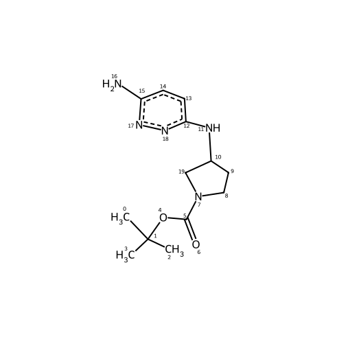 CC(C)(C)OC(=O)N1CCC(Nc2ccc(N)nn2)C1